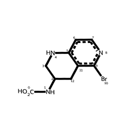 O=C(O)NC1CNc2ccnc(Br)c2C1